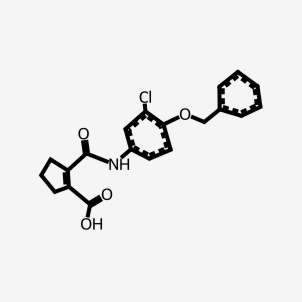 O=C(O)C1=C(C(=O)Nc2ccc(OCc3ccccc3)c(Cl)c2)CCC1